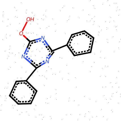 OOc1nc(-c2ccccc2)nc(-c2ccccc2)n1